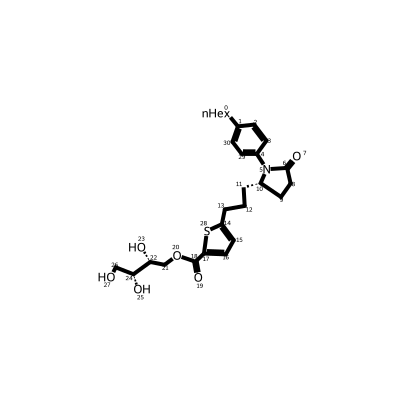 CCCCCCc1ccc(N2C(=O)CC[C@@H]2CCCc2ccc(C(=O)OC[C@@H](O)[C@H](O)CO)s2)cc1